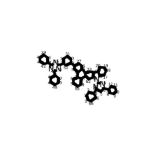 c1ccc(-c2cc(-c3ccccc3)nc(-n3c4ccccc4c4cc5c6ccc(-c7cccc(-c8nc(-c9ccccc9)nc(-c9ccccc9)n8)c7)cc6c6ccccc6c5cc43)n2)cc1